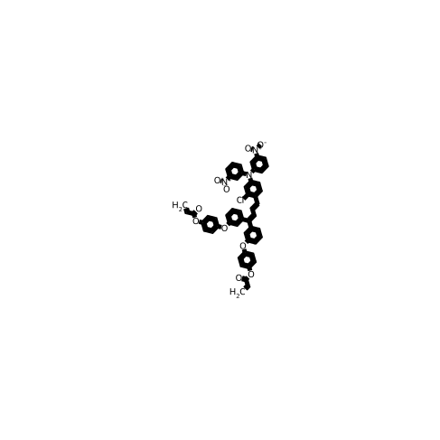 C=CC(=O)Oc1ccc(Oc2cccc(C(=CC=Cc3ccc(N(c4cccc([N+](=O)[O-])c4)c4cccc([N+](=O)[O-])c4)cc3Cl)c3cccc(Oc4ccc(OC(=O)C=C)cc4)c3)c2)cc1